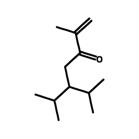 C=C(C)C(=O)CC(C(C)C)C(C)C